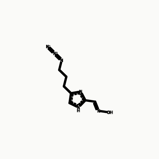 [N-]=[N+]=NCCCc1c[nH]c(C=NO)n1